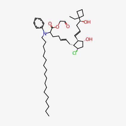 CCCCCCCCCCCCCCCCCCN(c1ccccc1)C(CCC=CC[C@@H]1[C@@H](C=CC[C@H](O)C2(CC)CCC2)[C@H](O)C[C@H]1Cl)C(=O)OCC=O